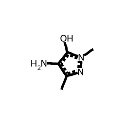 Cc1nn(C)c(O)c1N